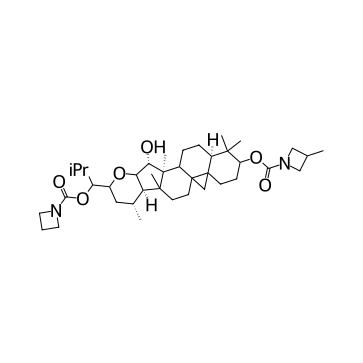 CC1CN(C(=O)OC2CCC34CC35CCC3(C)[C@@H]6C(OC(C(OC(=O)N7CCC7)C(C)C)C[C@H]6C)[C@H](O)[C@@]3(C)C5CC[C@H]4C2(C)C)C1